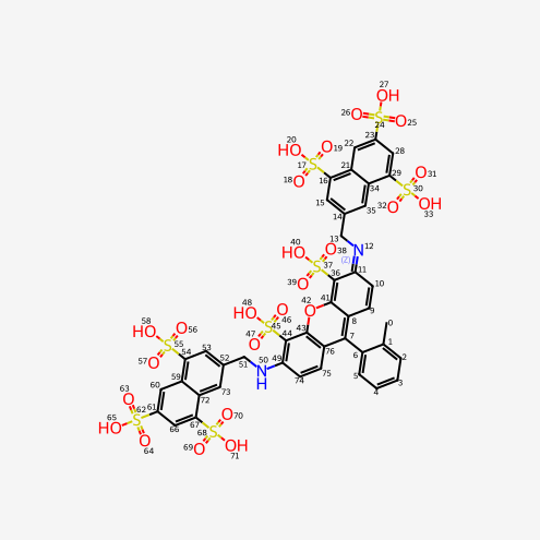 Cc1ccccc1-c1c2cc/c(=N/Cc3cc(S(=O)(=O)O)c4cc(S(=O)(=O)O)cc(S(=O)(=O)O)c4c3)c(S(=O)(=O)O)c-2oc2c(S(=O)(=O)O)c(NCc3cc(S(=O)(=O)O)c4cc(S(=O)(=O)O)cc(S(=O)(=O)O)c4c3)ccc12